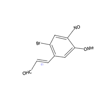 COc1cc(/C=C/C=O)c(Br)cc1N=O